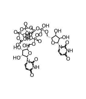 O=c1ccn([C@@H]2O[C@H](COP(=O)(O)OP(=O)(OP(=O)(O)OC[C@H]3O[C@@H](n4ccc(=O)[nH]c4=O)[C@H](O)[C@@H]3O)OP(=O)(O)OP(=O)(O)OP(=O)(O)O)[C@@H](O)[C@H]2O)c(=O)[nH]1